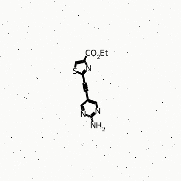 CCOC(=O)c1csc(C#Cc2cnc(N)nc2)n1